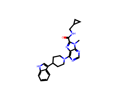 Cn1c(C(=O)NCC2CC2)nc2c(N3CCC(c4c[nH]c5ccccc45)CC3)ncnc21